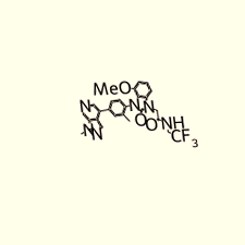 COc1cccc2c1n(-c1ccc(-c3cncc4c3cnn4C)cc1C)c(=O)n2CC(=O)NCC(F)(F)F